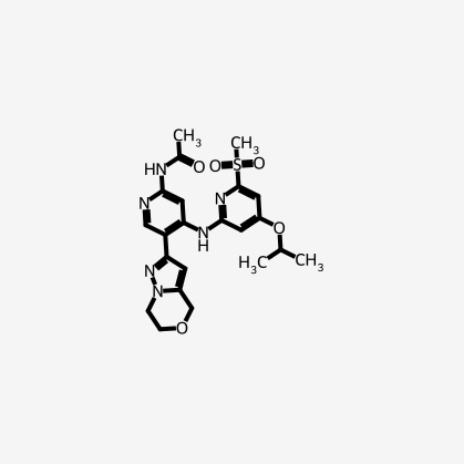 CC(=O)Nc1cc(Nc2cc(OC(C)C)cc(S(C)(=O)=O)n2)c(-c2cc3n(n2)CCOC3)cn1